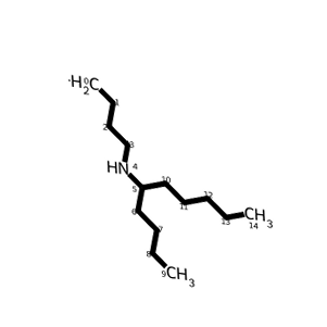 [CH2]CC[CH]NC(CCCC)CCCCC